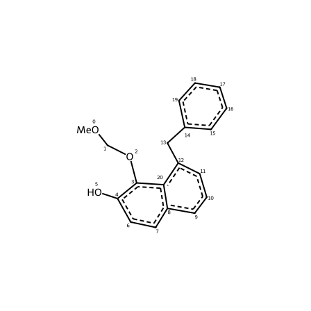 COCOc1c(O)ccc2cccc(Cc3ccccc3)c12